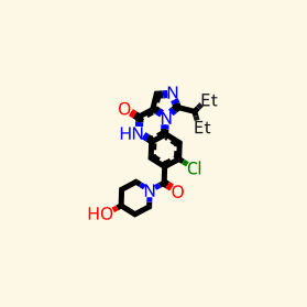 CCC(CC)c1ncc2c(=O)[nH]c3cc(C(=O)N4CCC(O)CC4)c(Cl)cc3n12